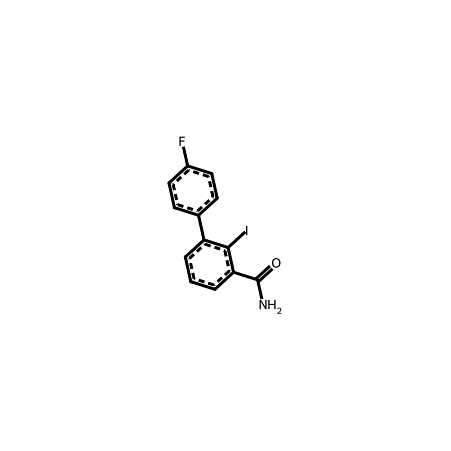 NC(=O)c1cccc(-c2ccc(F)cc2)c1I